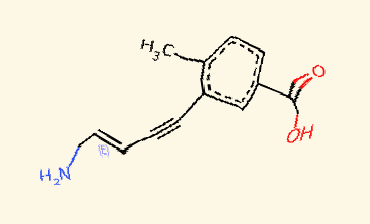 Cc1ccc(C(=O)O)cc1C#C/C=C/N